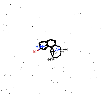 Nc1cccc2c1C[C@@H]1CC[C@H](C2)N[C@H]1Cc1cccc(Br)c1